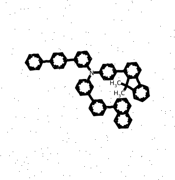 CC1(C)c2ccccc2-c2cccc(-c3ccc(N(c4cccc(-c5ccc(-c6ccccc6)cc5)c4)c4cccc(-c5cccc(-c6cccc7ccccc67)c5)c4)cc3)c21